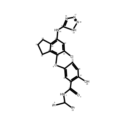 CC(C)C(NC(=O)c1cc(Oc2c(Cl)cc(Nc3nnn[nH]3)c3c2CCC3)ccc1O)C(C)C